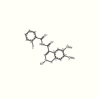 CCN1C=C(C(=O)NC(=O)c2ccccc2F)c2cc(OC)c(OC)cc2C1